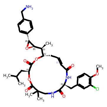 COc1ccc(C[C@@H]2NC(=O)/C=C/C[C@@H]([C@H](C)[C@H]3O[C@@H]3c3ccc(CN)cc3)OC(=O)[C@H](CC(C)C)OC(=O)C(C)(C)CNC2=O)cc1Cl